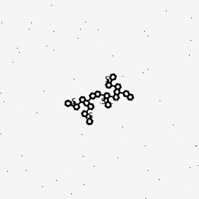 c1ccc2cc(-c3c4cccc(-c5cccc6sc7ccccc7c56)c4cc4c(-c5ccc(-c6ccc7ccc(-c8c9cccc(-c%10cccc%11c%10sc%10ccccc%10%11)c9cc9c(-c%10cccc%11c%10sc%10ccccc%10%11)cccc89)cc7c6)c6sc7ccccc7c56)cccc34)ccc2c1